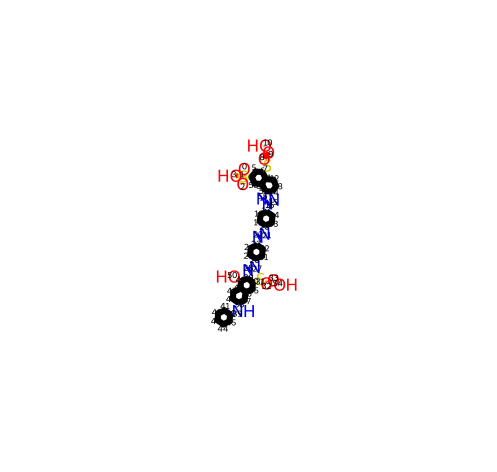 O=S(=O)(O)c1cc(SOOO)c2ccc3nn(-c4ccc(N=Nc5ccc(N=Nc6c(SOOO)cc7cc(Nc8ccccc8)ccc7c6O)cc5)cc4)nc3c2c1